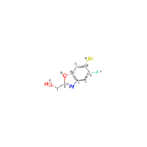 OCc1nc2cc(F)c(S)cc2o1